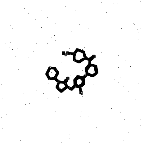 CN1CCN(C(=O)C2=CC(c3ccc(CC4CCN(C5CCCCC5)C4=O)c(Cl)c3)CC=C2)CC1